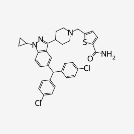 NC(=O)c1ccc(CN2CCC(c3nn(C4CC4)c4ccc(C(c5ccc(Cl)cc5)c5ccc(Cl)cc5)cc34)CC2)s1